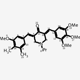 COc1cc(/C=C2\CN(C(C)C)C/C(=C\c3cc(OC)c(OC)c(OC)c3)C2=O)cc(C)c1C